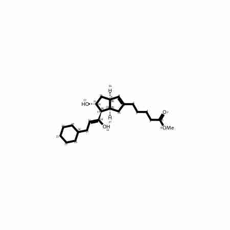 COC(=O)CCCCC1=C[C@@H]2C[C@@H](O)[C@H](C(O)=CCC3CCCCC3)[C@@H]2C1